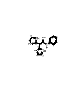 O=C(Nc1ccccc1)C(c1nccs1)C1NCCN1